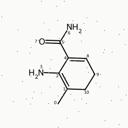 CC1=C(N)C(C(N)=O)=CCC1